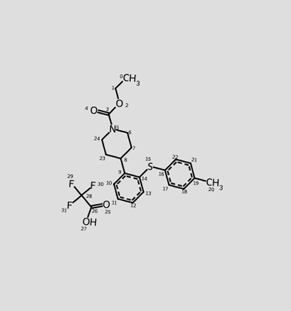 CCOC(=O)N1CCC(c2ccccc2Sc2ccc(C)cc2)CC1.O=C(O)C(F)(F)F